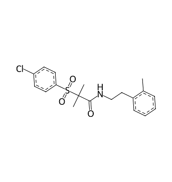 Cc1ccccc1CCNC(=O)C(C)(C)S(=O)(=O)c1ccc(Cl)cc1